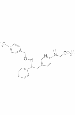 O=C(O)CNc1ccc(CC(=NOCc2ccc(C(F)(F)F)cc2)c2ccccc2)cn1